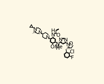 C=CC(=O)Nc1cc(Nc2cc(N3OCC[C@@H]3Cc3cccc(F)c3Cl)ncn2)c(OC)cc1N1CCC(N2CCN(C3CC3)[C@@H](C)C2)CC1